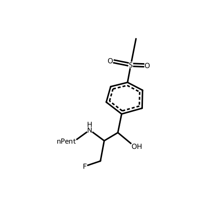 CCCCCNC(CF)C(O)c1ccc(S(C)(=O)=O)cc1